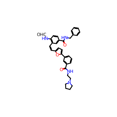 O=CNc1ccc(C(=O)NCc2ccccc2)cc1/C=C\c1ccc(-c2cccc(C(=O)NCCN3CCCC3)c2)o1